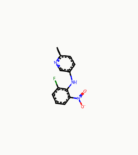 Cc1ccc(Nc2c(F)cccc2[N+](=O)[O-])cn1